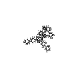 c1ccc(-c2ccc(-c3nc(-c4ccc(-c5ccccc5)cc4)nc(-c4ccc5c(c4)C4(c6ccccc6-c6ccccc6-c6ccccc64)c4ccccc4-5)n3)cc2)cc1